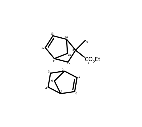 C1=CC2CCC1C2.CCOC(=O)C1(C)CC2C=CC1C2